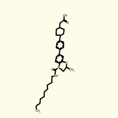 CCCCCCCCCCNC(=O)N1CC(C)Oc2cc(-c3ccc(C4CCC(CC(=O)O)CC4)cc3)ccc21